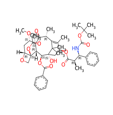 CO[C@H]1C[C@H]2OC[C@@]2(OC(C)=O)[C@H]2[C@H](OC(=O)c3ccccc3)[C@]3(O)C[C@H](OC(=O)[C@H](C)[C@@H](NC(=O)OC(C)(C)C)c4ccccc4)C(C)=C([C@@H](C)C(=O)[C@]12C)C3(C)C